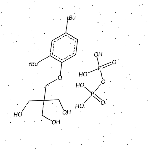 CC(C)(C)c1ccc(OCC(CO)(CO)CO)c(C(C)(C)C)c1.O=P(O)(O)OP(=O)(O)O